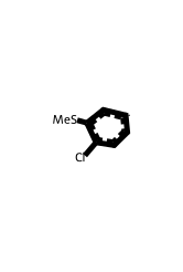 CSc1c[c]ccc1Cl